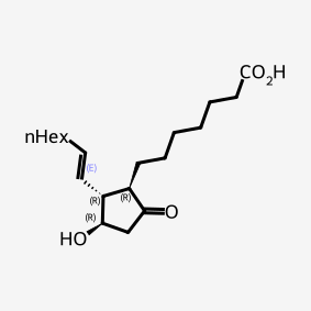 CCCCCC/C=C/[C@H]1[C@H](O)CC(=O)[C@@H]1CCCCCCC(=O)O